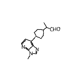 CC(C=O)C1CCC(c2ccnc3c2ncn3C)CC1